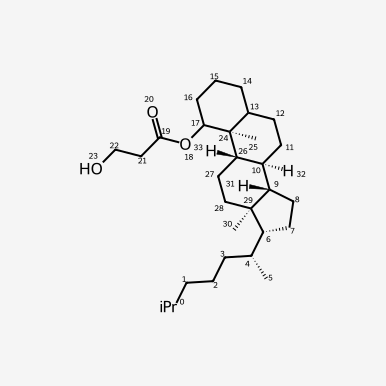 CC(C)CCC[C@@H](C)[C@H]1CC[C@H]2[C@@H]3CCC4CCCC(OC(=O)CCO)[C@]4(C)[C@H]3CC[C@]12C